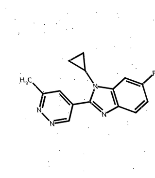 Cc1cc(-c2nc3ccc(F)cc3n2C2CC2)cnn1